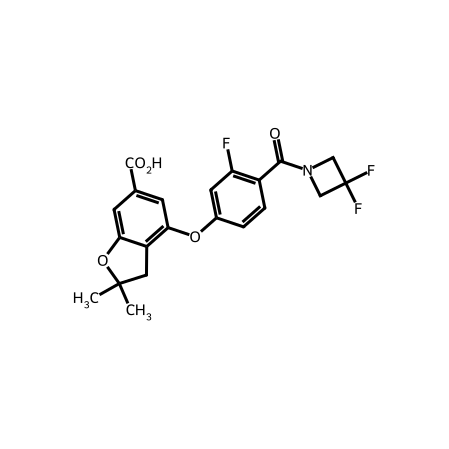 CC1(C)Cc2c(Oc3ccc(C(=O)N4CC(F)(F)C4)c(F)c3)cc(C(=O)O)cc2O1